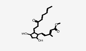 CCCCCC(=O)CCC1C(O)CC(O)C1C=CC(C)=CC(=O)OC